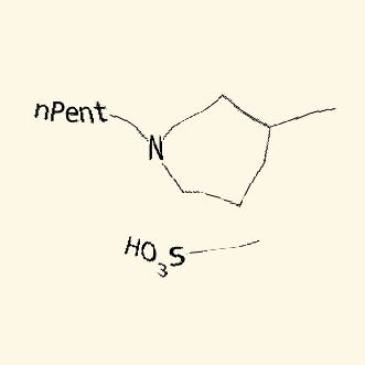 CCCCCN1CCC(C)C1.CS(=O)(=O)O